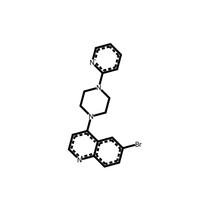 Brc1ccc2nccc(N3CCN(c4ccccn4)CC3)c2c1